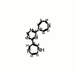 C1=CN(c2ncnc(C3=CNC=CN=C3)n2)C=CN=C1